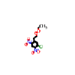 CCOOCCc1cc(Cl)c([N+](=O)[O-])cc1[N+](=O)[O-]